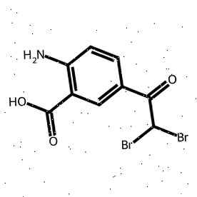 Nc1ccc(C(=O)C(Br)Br)cc1C(=O)O